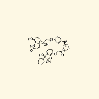 O=C(COc1cccc([C@](O)(C(=O)O)c2ccccc2)c1)N1CCC[C@H](Nc2ccc(CNC[C@H](O)c3ccc(O)c4[nH]c(=O)ccc34)cc2)C1